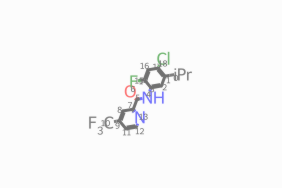 CC(C)c1cc(NC(=O)c2cc(C(F)(F)F)ccn2)c(F)cc1Cl